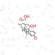 C[C@@H]1C[C@H]2[C@@H]3C[C@H](F)C4=CC(=O)C=C[C@]4(C)C3(F)[C@@H](O)C[C@]2(C)[C@H]1C(=O)CO